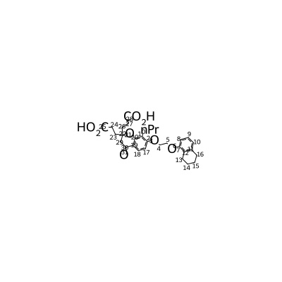 CCCc1c(OCCOc2cccc3c2CCCC3)ccc2c1OC(CCC(=O)O)(CCC(=O)O)CC2=O